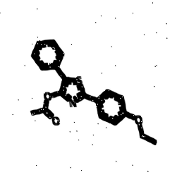 CCOc1ccc(-c2nc(OC(C)=O)c(-c3ccccc3)s2)cc1